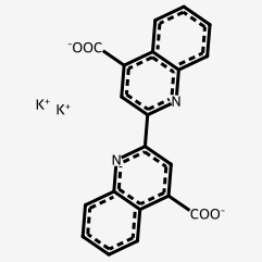 O=C([O-])c1cc(-c2cc(C(=O)[O-])c3ccccc3n2)nc2ccccc12.[K+].[K+]